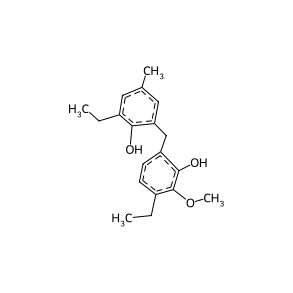 CCc1cc(C)cc(Cc2ccc(CC)c(OC)c2O)c1O